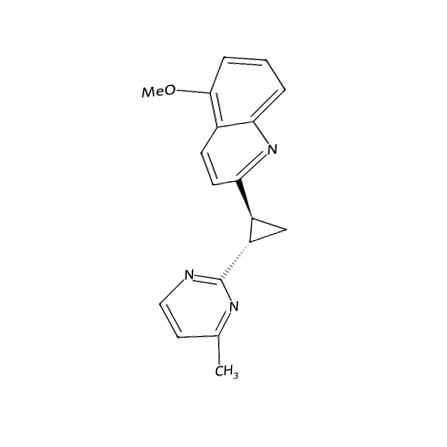 COc1cccc2nc([C@H]3C[C@@H]3c3nccc(C)n3)ccc12